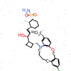 C[C@H]1[C@H](/C=C/[C@H](O)[C@@H]2CC[C@H]2CN2CCCCc3cc(Cl)ccc3COc3ccc(C(=O)O)cc32)CCC[C@H]1S(N)(=O)=O